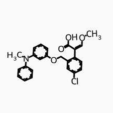 COC=C(C(=O)O)c1ccc(Cl)cc1COc1cccc(N(C)c2ccccc2)c1